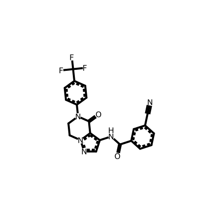 N#Cc1cccc(C(=O)Nc2cnn3c2C(=O)N(c2ccc(C(F)(F)F)cc2)CC3)c1